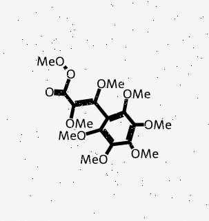 COOC(=O)C(OC)=C(OC)c1c(OC)c(OC)c(OC)c(OC)c1OC